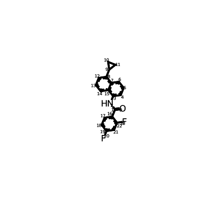 O=C(Nc1cccc2c(C3CC3)cccc12)c1ccc(F)cc1F